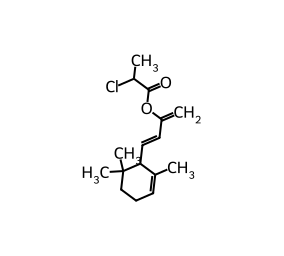 C=C(C=CC1C(C)=CCCC1(C)C)OC(=O)C(C)Cl